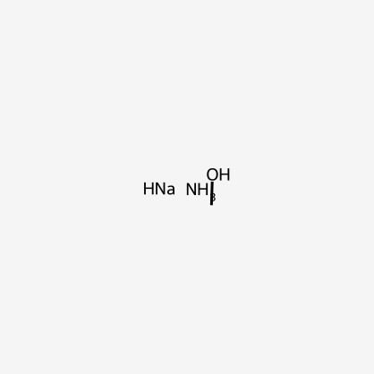 CO.N.[NaH]